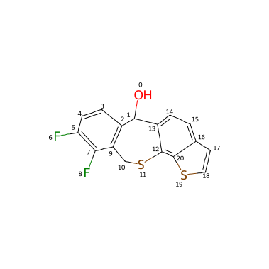 OC1c2ccc(F)c(F)c2CSc2c1ccc1ccsc21